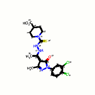 CC1=NN(c2ccc(Cl)c(Cl)c2)C(=O)/C1=C(/C)NNC(=S)N1CCC(C(=O)O)CC1